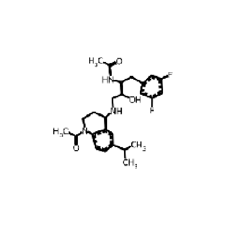 CC(=O)NC(Cc1cc(F)cc(F)c1)C(O)CNC1CCN(C(C)=O)c2ccc(C(C)C)cc21